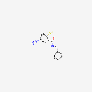 Nc1ccc(S)c(C(=O)NCc2ccccc2)c1